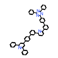 c1ccc(-c2cc(-c3ccc(-c4cccc(-c5cccc(-c6cccc(-c7ccc(-c8nc(-c9ccccc9)nc(-c9ccccc9)n8)cc7)c6)n5)c4)cc3)cc(-c3ccccc3)n2)cc1